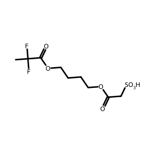 CC(F)(F)C(=O)OCCCCOC(=O)CS(=O)(=O)O